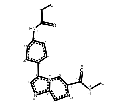 CCC(=O)Nc1ccc(-c2cnc3cnc(C(=O)NC)cn23)cc1